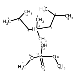 CC(C)C[PH](C)(C)CC(C)C.COP(=O)(O)OC